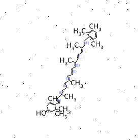 CC1=C(/C=C/C(C)=C/C=C/C(C)=C/C=C/C=C(C)/C=C/C=C(C)/C=C/c2c(C)ccc(C)c2C)C(C)(C)C[C@H](O)C1